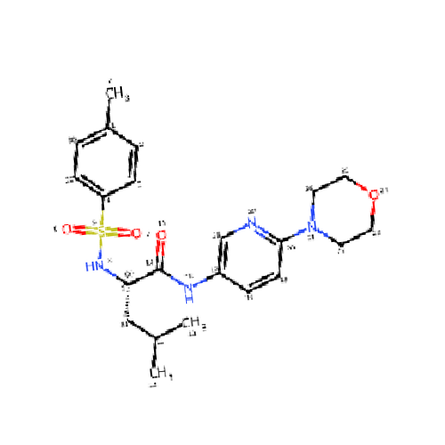 Cc1ccc(S(=O)(=O)N[C@@H](CC(C)C)C(=O)Nc2ccc(N3CCOCC3)nc2)cc1